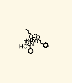 CCCCOC(=O)N(OC(=O)CCc1ccccc1)C(=N)N(C)C(C(=O)O)C1CCCCC1